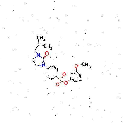 COc1cccc(OS(=O)(=O)c2ccc(N3CCN(CC(C)C)C3=O)cc2)c1